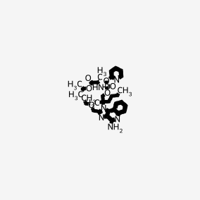 CCCCC(C)(CO[P@@](=O)(N[C@@H](C)C(=O)OC(C)C)Oc1ccccn1)n1c(COCC)nc2c(N)nc3ccccc3c21